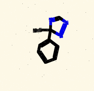 CSC1(c2ccccc2)N=CN=N1